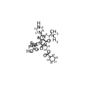 CC(C)=CCn1c(N2CCNCC2)nc2c1c(=O)n(CCOC(=O)c1ccccc1)c(=O)n2C.O=C(O)C(F)(F)F